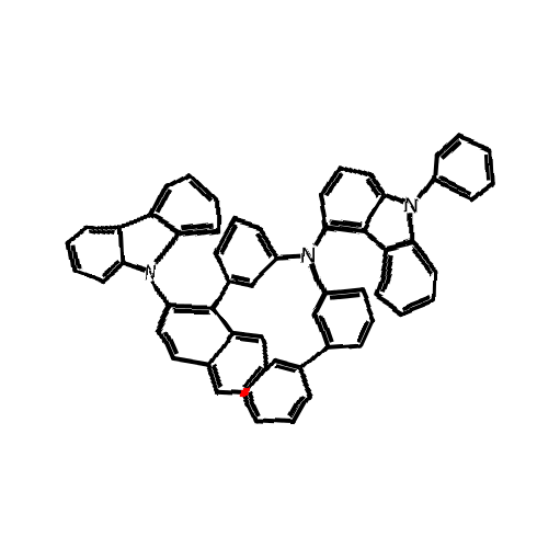 c1ccc(-c2cccc(N(c3cccc(-c4c(-n5c6ccccc6c6ccccc65)ccc5ccccc45)c3)c3cccc4c3c3ccccc3n4-c3ccccc3)c2)cc1